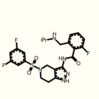 CC(C)NCc1cccc(F)c1C(=O)Nc1n[nH]c2c1CN(S(=O)(=O)c1cc(F)cc(F)c1)CC2